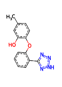 Cc1ccc(Oc2ccccc2-c2nn[nH]n2)c(O)c1